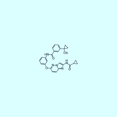 N#CC1(c2cccc(C(=O)Nc3cccc(Oc4ccc5nc(NC(=O)C6CC6)cn5n4)c3)c2)CC1